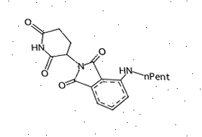 [CH2]CCCCNc1cccc2c1C(=O)N(C1CCC(=O)NC1=O)C2=O